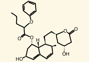 CCCC(Oc1ccccc1)C(=O)O[C@H]1C[C@H](O)C=C2C=C[C@H](C)[C@H](CC[C@@H]3C[C@@H](O)CC(=O)O3)[C@H]21